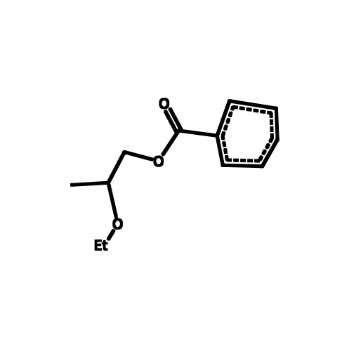 CCOC(C)COC(=O)c1ccccc1